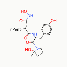 CCCCCC(CC(=O)NO)C(=O)NC(Cc1ccc(O)cc1)C(=O)N1CCCC1(C)O